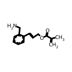 C=C(C)C(=O)OCC=Cc1ccccc1CN